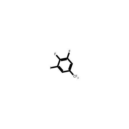 Fc1cc(C(F)(F)F)cc(I)c1F